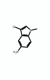 Cn1cc(Cl)c2cc(N)ccc21